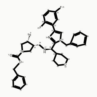 [2H][C@H]1CN(C(=O)OCc2ccccc2)C[C@H]1CN[C@@H](c1nc(-c2cc(F)ccc2F)cn1Cc1ccccc1)C1CCOCC1